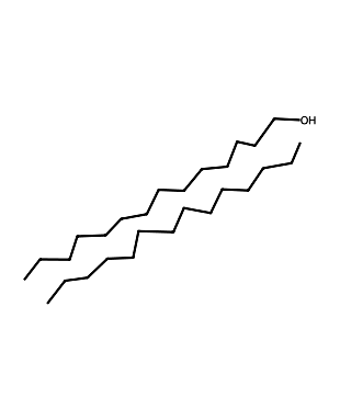 CCCCCCCCCCCCCC.CCCCCCCCCCCCCCO